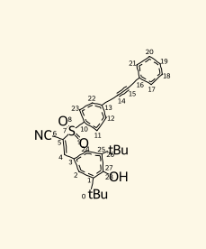 CC(C)(C)c1cc(C=C(C#N)S(=O)(=O)c2ccc(C#Cc3ccccc3)cc2)cc(C(C)(C)C)c1O